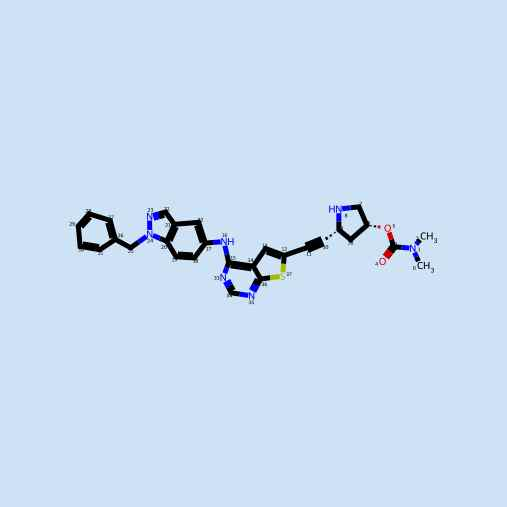 CN(C)C(=O)O[C@H]1CN[C@@H](C#Cc2cc3c(Nc4ccc5c(cnn5Cc5ccccc5)c4)ncnc3s2)C1